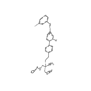 Cc1cccc(Sc2ccc(-c3ccc(CCC(N)(CO)COP=O)cc3)c(F)c2)c1